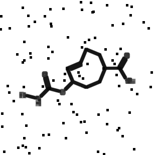 CCNC(=O)OC1/C=C/CCC(C(=O)C(C)(C)C)CC1